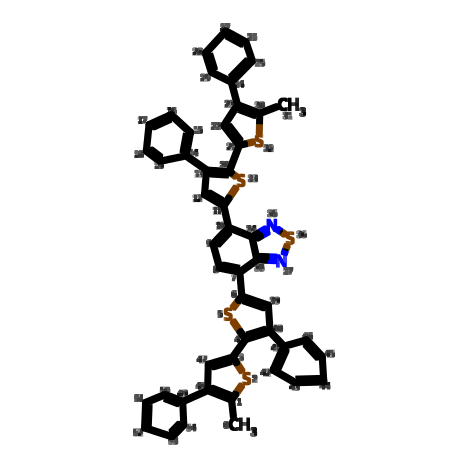 Cc1sc(-c2sc(-c3ccc(-c4cc(-c5ccccc5)c(-c5cc(-c6ccccc6)c(C)s5)s4)c4nsnc34)cc2-c2ccccc2)cc1-c1ccccc1